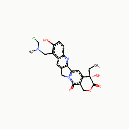 CC[C@@]1(O)C(=O)OCc2c1cc1n(c2=O)Cc2cc3c(CN(C)CCl)c(O)ccc3nc2-1